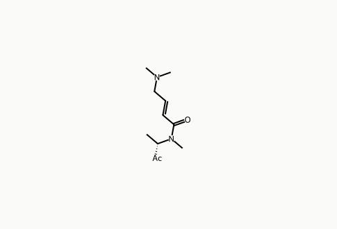 CC(=O)[C@H](C)N(C)C(=O)/C=C/CN(C)C